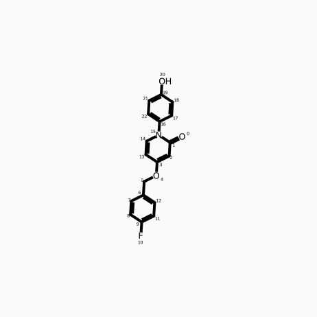 O=c1cc(OCc2ccc(F)cc2)ccn1-c1ccc(O)cc1